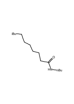 CCCCNC(=O)CCCCCCC(C)CC